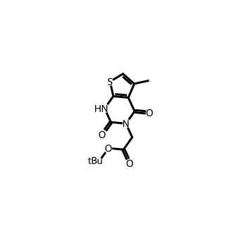 Cc1csc2[nH]c(=O)n(CC(=O)OC(C)(C)C)c(=O)c12